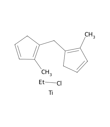 CC1=C(CC2=C(C)C=CC2)CC=C1.CCCl.[Ti]